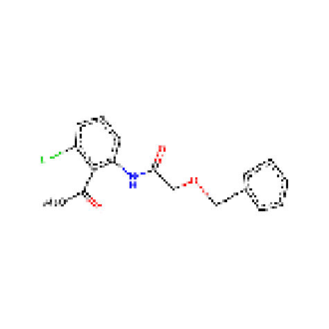 COC(=O)c1c(Cl)cccc1NC(=O)COCc1ccccc1